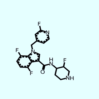 O=C(NC1CCNCC1F)c1cn(Cc2ccnc(F)c2)c2c(F)ccc(F)c12